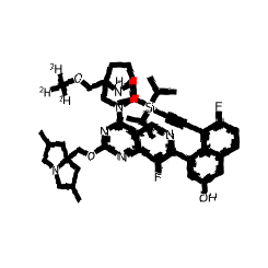 [2H]C([2H])([2H])OCC12CCC(CN(c3nc(OCC45CC(C)CN4CC(C)C5)nc4c(F)c(-c5cc(O)cc6ccc(F)c(C#C[Si](C(C)C)(C(C)C)C(C)C)c56)ncc34)C1)N2